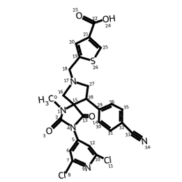 CN1C(=O)N(c2cc(Cl)nc(Cl)c2)C(=O)C12CN(Cc1cc(C(=O)O)cs1)CC2c1ccc(C#N)cc1